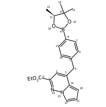 CCOC(=O)c1cc(Cc2ccc(B3O[C@@H](C)C(C)(C)O3)cc2)c2cccn2n1